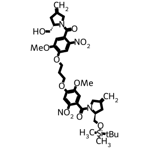 C=C1C[C@@H](CO)N(C(=O)c2cc(OC)c(OCCCOc3cc([N+](=O)[O-])c(C(=O)N4CC(=C)C[C@H]4CO[Si](C)(C)C(C)(C)C)cc3OC)cc2[N+](=O)[O-])C1